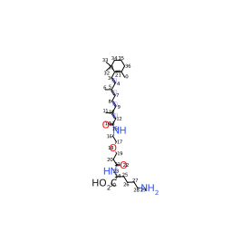 CC1=C(/C=C/C(C)=C/C=C/C(C)=C/C(=O)NCCOCCC(=O)NC(CCCCN)C(=O)O)C(C)(C)CCC1